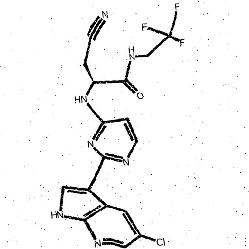 N#CC[C@H](Nc1ccnc(-c2c[nH]c3ncc(Cl)cc23)n1)C(=O)NCC(F)(F)F